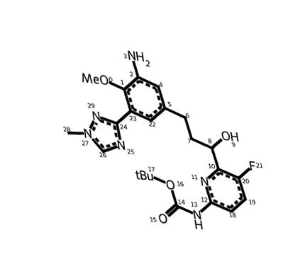 COc1c(N)cc(CCC(O)c2nc(NC(=O)OC(C)(C)C)ccc2F)cc1-c1ncn(C)n1